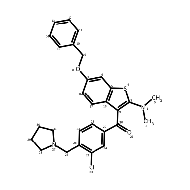 CN(C)c1sc2cc(OCc3ccccc3)ccc2c1C(=O)c1ccc(CN2CCCC2)c(Cl)c1